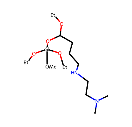 CCOC(CCCNCCN(C)C)O[Si](OC)(OCC)OCC